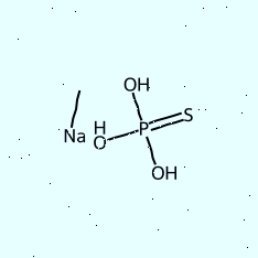 OP(O)(O)=S.[CH3][Na]